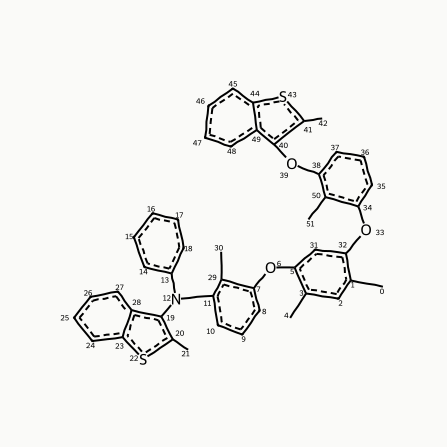 Cc1cc(C)c(Oc2cccc(N(c3ccccc3)c3c(C)sc4ccccc34)c2C)cc1Oc1cccc(Oc2c(C)sc3ccccc23)c1C